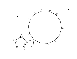 CC1(C2=CC=C[N]2)CCCCCCCCCCCCC1